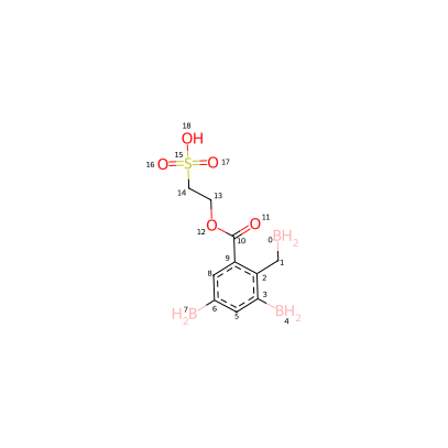 BCc1c(B)cc(B)cc1C(=O)OCCS(=O)(=O)O